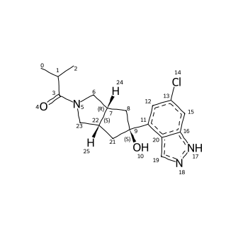 CC(C)C(=O)N1C[C@@H]2C[C@](O)(c3cc(Cl)cc4[nH]ncc34)C[C@@H]2C1